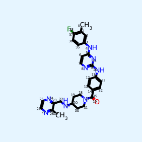 Cc1cc(Nc2ccnc(Nc3ccc(C(=O)N4CCC(NCc5nccnc5C)CC4)cc3)n2)ccc1F